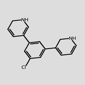 Clc1cc(C2=CNCC=C2)cc(C2=CC=CNC2)c1